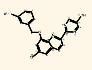 COc1cccc(COc2cc(Cl)cc3ccc(-c4ncc(O)cn4)nc23)c1